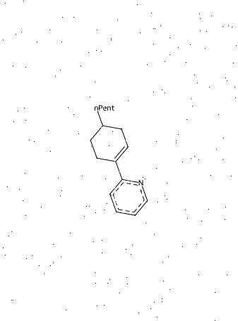 CCCCCC1CC=C(c2ccccn2)CC1